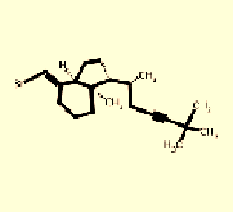 C[C@H](CC#CC(C)(C)C)[C@H]1CC[C@@H]2/C(=C/Br)CCC[C@@]21C